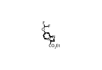 CCOC(=O)c1cnc2cc(OC(F)F)ccn12